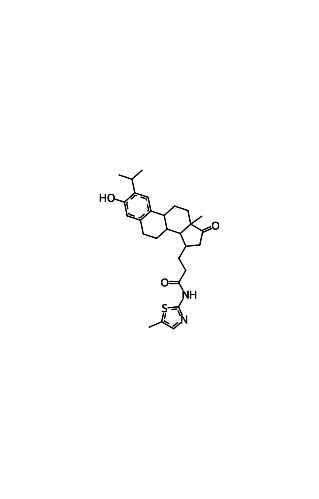 Cc1cnc(NC(=O)CCC2CC(=O)C3(C)CCC4c5cc(C(C)C)c(O)cc5CCC4C23)s1